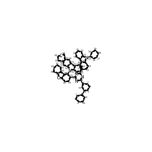 c1ccc(-c2cccc(-c3nc(-c4ccc5c(c4)c4ccccc4n5-c4ccccc4)nc(-c4ccc5oc6ccccc6c5c4-n4c5ccccc5c5cc6ccccc6cc54)n3)c2)cc1